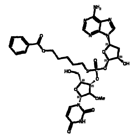 COC1[C@@H](OP(=O)(O[C@H]2O[C@@H](n3cnc4c(N)ncnc43)C[C@H]2O)SCCCCCOC(=O)c2ccccc2)[C@@H](CO)O[C@H]1n1ccc(=O)[nH]c1=O